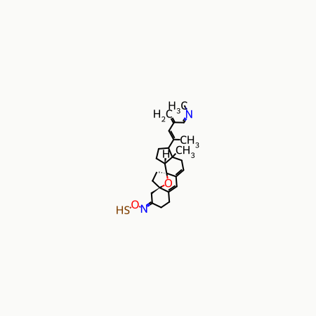 C=C(/C=N\C)/C=C(\C)C1CC[C@@H]2C1(C)CC=C1C=C3CCC(=NOS)C[C@]34CC[C@@]12O4